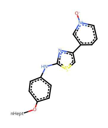 CCCCCCCOc1ccc(Nc2nc(-c3ccc[n+]([O-])c3)cs2)cc1